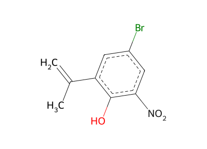 C=C(C)c1cc(Br)cc([N+](=O)[O-])c1O